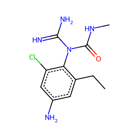 CCc1cc(N)cc(Cl)c1N(C(=N)N)C(=O)NC